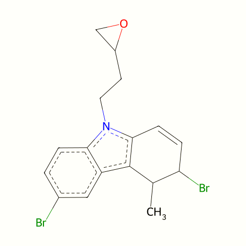 CC1c2c(n(CCC3CO3)c3ccc(Br)cc23)C=CC1Br